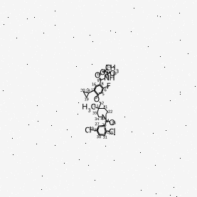 CC1(COc2cc(F)c(C(=O)NS(C)(=O)=O)cc2C2CC2)CCN(C(=O)c2cc(Cl)ccc2Cl)CC1